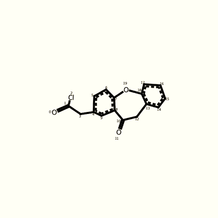 O=C(Cl)Cc1ccc2c(c1)C(=O)Cc1ccccc1O2